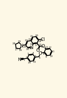 N#Cc1ccc(COc2ccccc2OC(=O)c2c(Cl)ccc3cc(N4CCCC4)cnc23)cc1